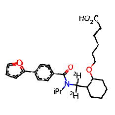 [2H]C([2H])(C1CCCCC1OCCCCCC(=O)O)N(C(=O)c1ccc(-c2ccco2)cc1)C(C)C